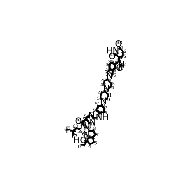 CC[C@@]1(O)CCc2ccc(-n3c4nc(Nc5ccc(N6CCC(N7CCC(N8Cc9ccc%10c(C%11CCC(=O)NC%11=O)noc%10c9C8)CC7)CC6)cc5)ncc4c(=O)n3CC=C(F)F)nc21